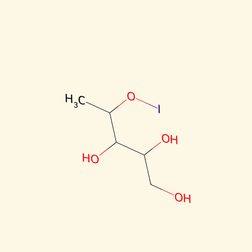 CC(OI)C(O)C(O)CO